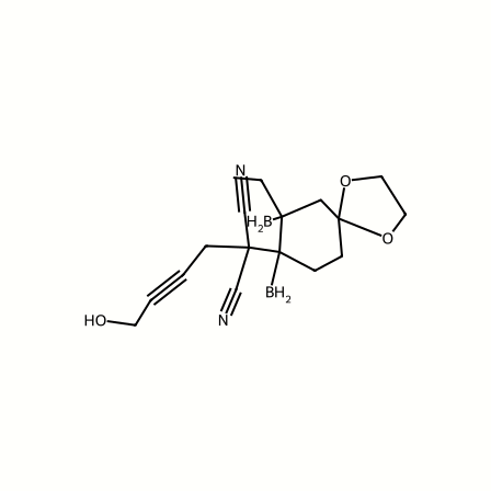 BC1(CC)CC2(CCC1(B)C(C#N)(C#N)CC#CCO)OCCO2